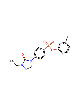 Cc1cccc(OS(=O)(=O)c2ccc(N3CCN(CC(C)C)C3=O)cc2)c1